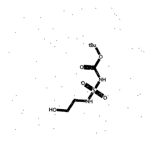 CC(C)(C)OC(=O)NS(=O)(=O)NCCO